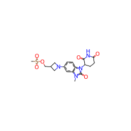 Cn1c(=O)n(C2CCC(=O)NC2=O)c2ccc(N3CC(COS(C)(=O)=O)C3)cc21